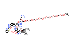 COCCOCCOCCOCCOCCOCCOCCOCCOCCOCCOCCOCC(=O)N[C@@H](CCCCN)C(=O)N[C@@H](C)C(=O)NCCOC12CC3(C)CC(C)(CC(Cn4ncc(-c5ccc(N6CCc7cccc(C(=O)Nc8nc9ccccc9s8)c7C6)nc5C(=O)O)c4C)(C3)C1)C2